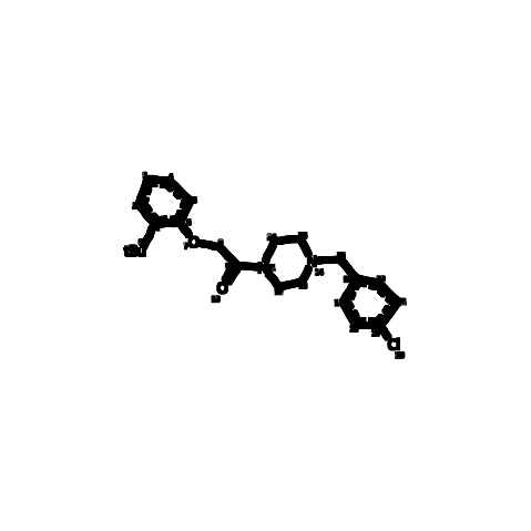 CC(C)(C)c1ccccc1OCC(=O)N1CCN(Cc2ccc(Cl)cc2)CC1